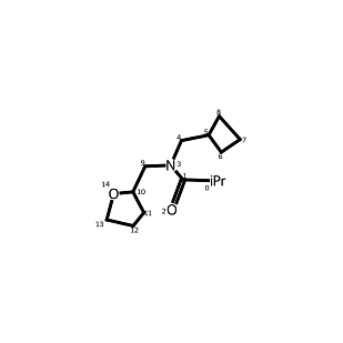 CC(C)C(=O)N(CC1CCC1)CC1CCCO1